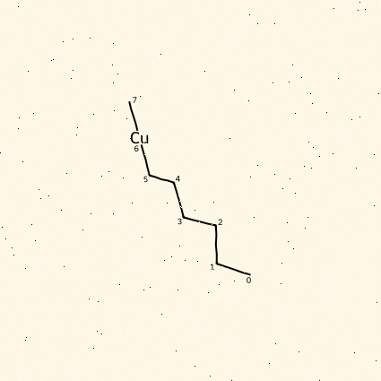 CCCCC[CH2][Cu][CH3]